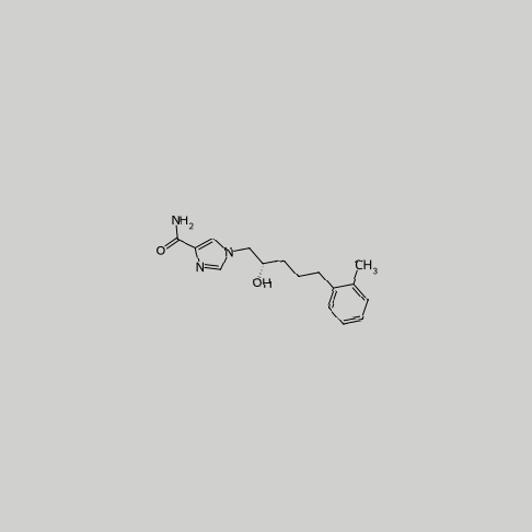 Cc1ccccc1CCC[C@H](O)Cn1cnc(C(N)=O)c1